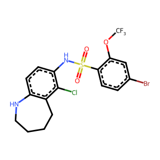 O=S(=O)(Nc1ccc2c(c1Cl)CCCCN2)c1ccc(Br)cc1OC(F)(F)F